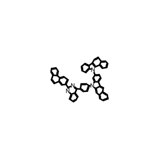 c1ccc2cc3c(cc2c1)c1ccc(-n2c4ccccc4c4ccc5ccccc5c42)cc1n3-c1ccc(-c2nc(-c3ccc4c(ccc5ccccc54)c3)nc3ccccc23)cc1